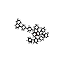 c1ccc(C2(c3ccccc3)c3ccccc3-c3c(-c4ccccc4N(c4ccc(-c5ccc(-c6cccc7ccccc67)cc5)cc4)c4ccc(-c5cccc6oc7ccccc7c56)cc4)cccc32)cc1